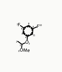 COC(C)Oc1cc(F)[c]c(F)c1